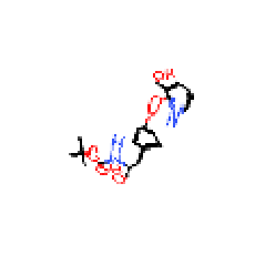 CC(C)(C)OC(=O)NC(CO)Cc1ccc(Oc2ncccc2CO)cc1